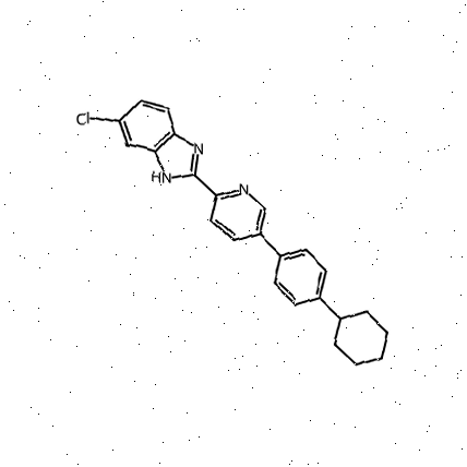 Clc1ccc2nc(-c3ccc(-c4ccc(C5CCCCC5)cc4)cn3)[nH]c2c1